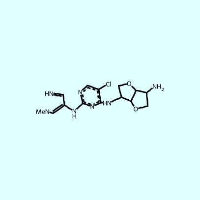 CN/C=C(\C=N)Nc1ncc(Cl)c(NC2COC3C(N)COC23)n1